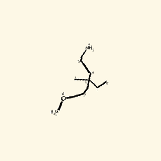 CCC(C)(CCN)CO[SiH3]